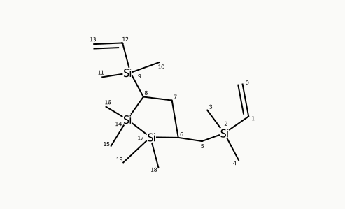 C=C[Si](C)(C)CC1CC([Si](C)(C)C=C)[Si](C)(C)[Si]1(C)C